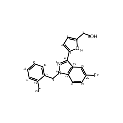 OCc1ccc(-c2nn(Cc3ccccc3F)c3ccc(F)cc23)o1